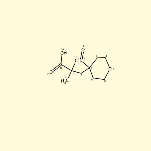 CC(C)(CC1(N=O)CCOCC1)C(=O)O